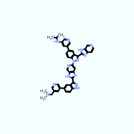 CC(C)Nc1cncc(-c2ccc3c(c2)c(-c2nc4ccncc4[nH]2)nn3-c2cc3nc(-c4n[nH]c5ccc(-c6cncc(CN(C)C)c6)cc45)[nH]c3cn2)c1